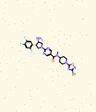 CCc1noc(N2CCC(N(C)C(=O)c3cnc(N4C[C@H](c5cc(F)c(F)cc5F)[C@@H](N)C4)nc3)CC2)n1